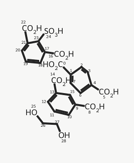 O=C(O)c1ccc(C(=O)O)cc1.O=C(O)c1cccc(C(=O)O)c1.O=C(O)c1cccc(C(=O)O)c1S(=O)(=O)O.OCCO